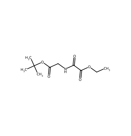 CCOC(=O)C(=O)NCC(=O)OC(C)(C)C